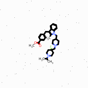 COC(=O)c1ccc(Cc2c(C)n(CC3CCN(CC4(F)CCN(C(C)C)CC4)CC3)c3ccccc23)cc1